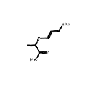 CCCCCCCC=COC(C)C(=O)OC